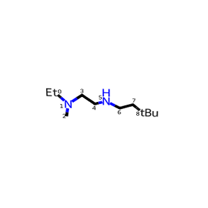 CCN(C)CCNCCC(C)(C)C